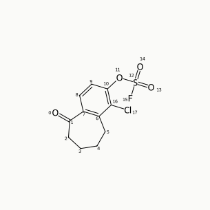 O=C1CCCCc2c1ccc(OS(=O)(=O)F)c2Cl